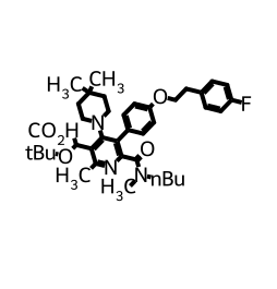 CCCCN(C)C(=O)c1nc(C)c(C(OC(C)(C)C)C(=O)O)c(N2CCC(C)(C)CC2)c1-c1ccc(OCCc2ccc(F)cc2)cc1